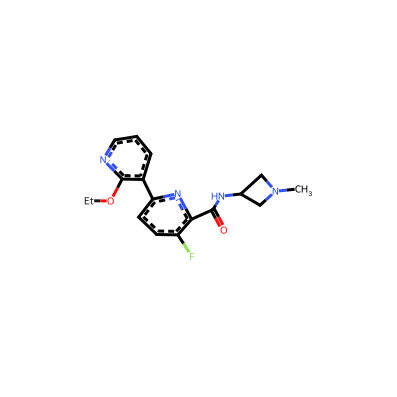 CCOc1ncccc1-c1ccc(F)c(C(=O)NC2CN(C)C2)n1